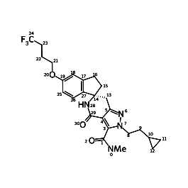 CNC(=O)c1c2c(nn1CCC1CC1)C[C@]1(CCc3cc(OCCCC(F)(F)F)ccc31)NC2=O